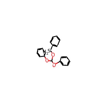 c1ccc(OC(O[SiH2]c2ccccc2)Oc2ccccc2)cc1